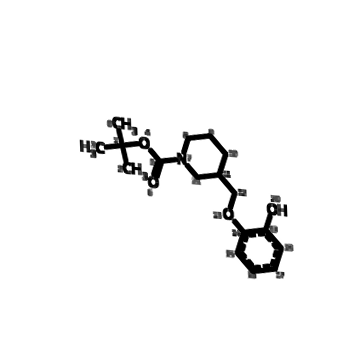 CC(C)(C)OC(=O)N1CCCC(COc2ccccc2O)C1